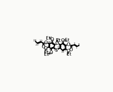 CC=CC(=O)Oc1c(OCC)cc(Sc2cc(OCC)c(OC(=O)C=CC)c(OCC)c2OCC)c(OCC)c1OCC